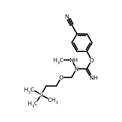 CNN(COCC[Si](C)(C)C)C(=N)Oc1ccc(C#N)cc1